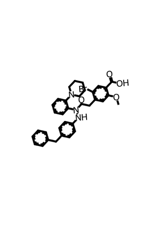 COc1cc(CC(=O)N(Nc2ccc(Cc3ccccc3)cc2)c2ccccc2N2CCCCC2)c(Br)cc1C(=O)O